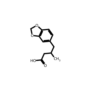 CC(CC(=O)O)Cc1ccc2c(c1)OCO2